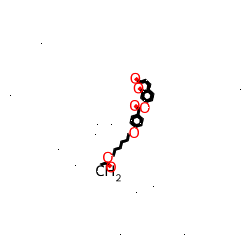 C=CC(=O)OCCCCCCOc1ccc(C(=O)Oc2ccc3ccc(=O)oc3c2)cc1